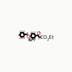 CCOC(=O)CC(=O)c1ccc(OCc2ccccc2)cc1.[KH]